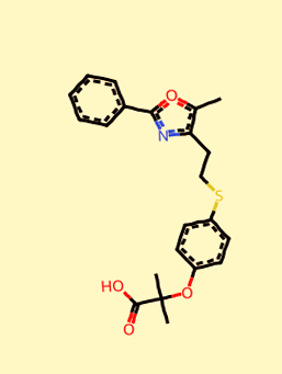 Cc1oc(-c2ccccc2)nc1CCSc1ccc(OC(C)(C)C(=O)O)cc1